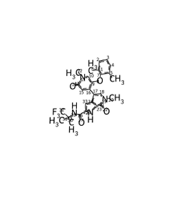 Cc1cccc(C)c1Oc1cn(C)c(=O)cc1-c1cn(C)c(=O)c2[nH]c(C(=O)NC(C)(C)C(F)(F)F)cc12